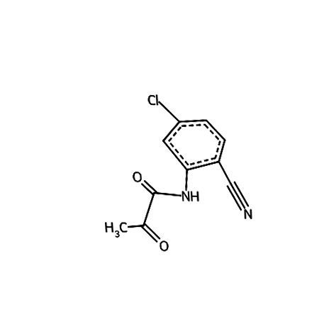 CC(=O)C(=O)Nc1cc(Cl)ccc1C#N